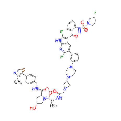 Cc1ncsc1-c1ccc(CNC(=O)[C@@H]2C[C@@H](O)CN2C(=O)C(NC(=O)CN2CC(N3CCN(c4cccc(-c5cc6c(C(=O)c7ccccc7NS(=O)(=O)N7CC[C@@H](F)C7)c(F)[nH]c6nc5F)c4)CC3)C2)C(C)(C)C)cc1